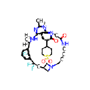 Cc1nc2c3cc(C4CCS(=O)(=O)CC4)c(=O)n(c3n1)CC(=O)NCCCCN1CC(C1)CC(F)(F)c1cccc(c1F)[C@H](C)N2